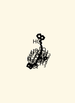 CCC1(OC(=O)C(C)(C(C)(C)C)C(C)(C)C(C)(C)C(C)(C(=O)OC2CCOC2=O)C(C)(C)C(C)(C)C(C)(C(=O)OCCCC(O)c2cccc3ccccc23)C(C)(C)C)C2CC3CC(C2)CC1C3